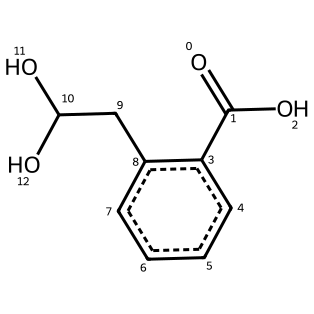 O=C(O)c1ccccc1CC(O)O